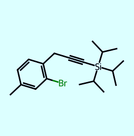 Cc1ccc(CC#C[Si](C(C)C)(C(C)C)C(C)C)c(Br)c1